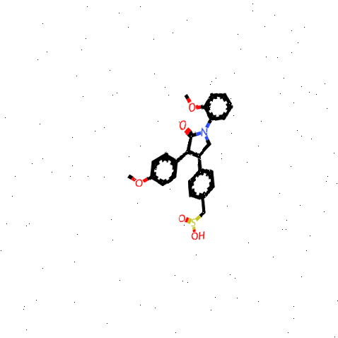 COc1ccc(C2C(=O)N(c3ccccc3OC)CC2c2ccc(CS(=O)O)cc2)cc1